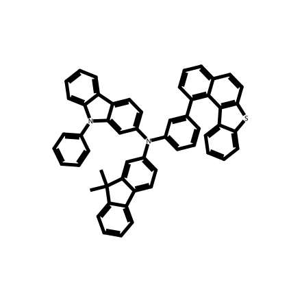 CC1(C)c2ccccc2-c2ccc(N(c3cccc(-c4cccc5ccc6sc7ccccc7c6c45)c3)c3ccc4c5ccccc5n(-c5ccccc5)c4c3)cc21